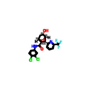 O=C(Nc1ccc(Cl)c(Cl)c1)[C@@H]1[C@@H](c2cccc(C(F)(F)F)n2)[C@H]2O[C@@H]1C[C@@H]2O